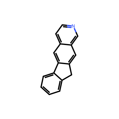 c1ccc2c(c1)Cc1cc3cnccc3cc1-2